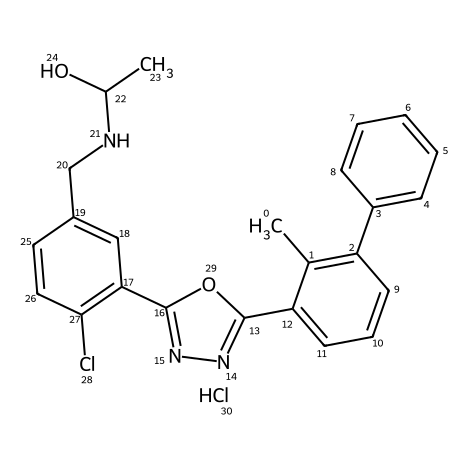 Cc1c(-c2ccccc2)cccc1-c1nnc(-c2cc(CNC(C)O)ccc2Cl)o1.Cl